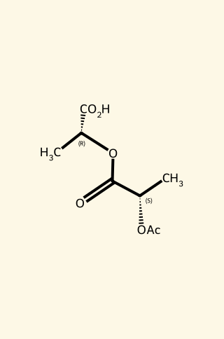 CC(=O)O[C@@H](C)C(=O)O[C@H](C)C(=O)O